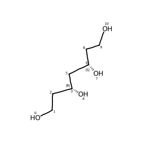 OCC[C@@H](O)C[C@@H](O)CCO